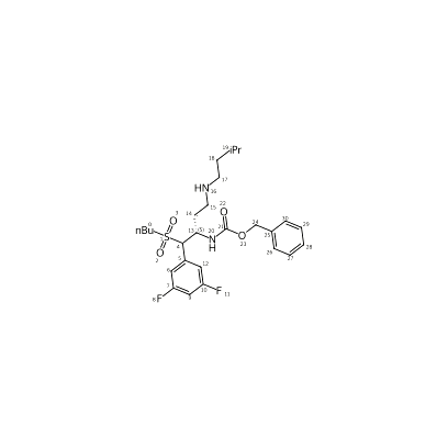 CCCCS(=O)(=O)C(c1cc(F)cc(F)c1)[C@H]([CH]CNCCC(C)C)NC(=O)OCc1ccccc1